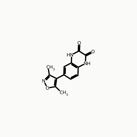 Cc1noc(C)c1-c1ccc2[nH]c(=O)c(=O)[nH]c2c1